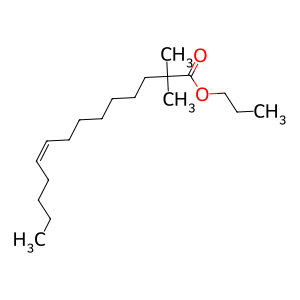 CCCC/C=C\CCCCCCC(C)(C)C(=O)OCCC